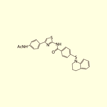 CC(=O)Nc1ccc(-c2csc(NC(=O)c3ccc(SN4CCCc5ccccc54)cc3)n2)cc1